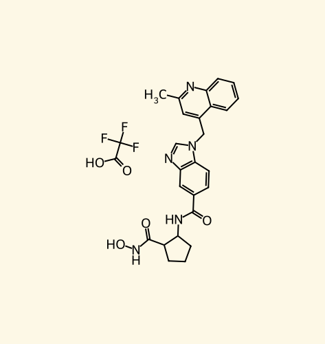 Cc1cc(Cn2cnc3cc(C(=O)NC4CCCC4C(=O)NO)ccc32)c2ccccc2n1.O=C(O)C(F)(F)F